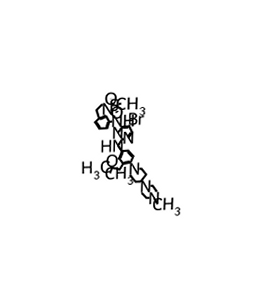 CN1CCN(C2CCN(c3ccc(Nc4ncc(Br)c(Nc5cccc6c5N(S(C)(=O)=O)CC6)n4)c4c3CC(C)(C)O4)CC2)CC1